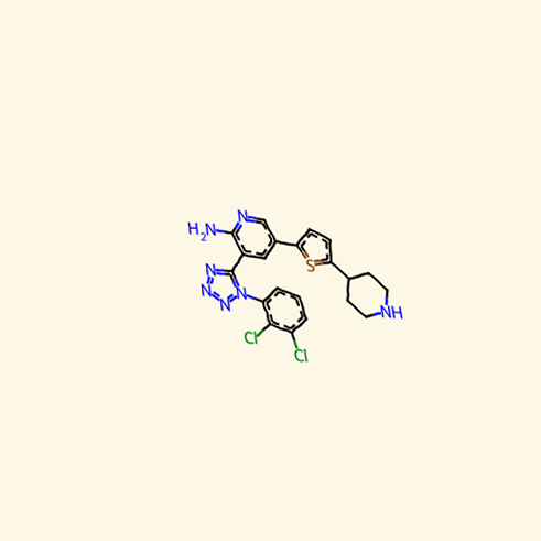 Nc1ncc(-c2ccc(C3CCNCC3)s2)cc1-c1nnnn1-c1cccc(Cl)c1Cl